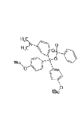 CN(C)c1cccc(S(OS(=O)(=O)c2ccccc2)(c2ccc(OC(C)(C)C)cc2)c2ccc(OC(C)(C)C)cc2)c1